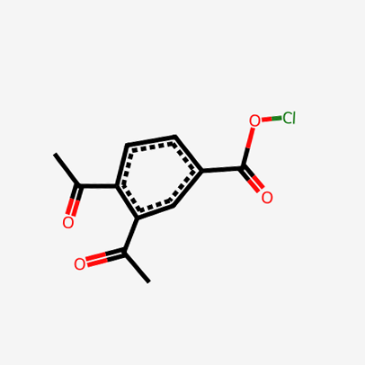 CC(=O)c1ccc(C(=O)OCl)cc1C(C)=O